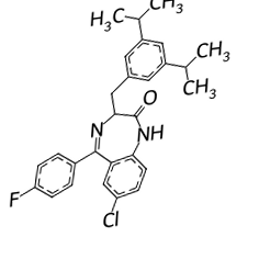 CC(C)c1cc(CC2N=C(c3ccc(F)cc3)c3cc(Cl)ccc3NC2=O)cc(C(C)C)c1